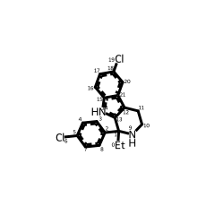 CCC1(c2ccc(Cl)cc2)NCCc2c1[nH]c1ccc(Cl)cc21